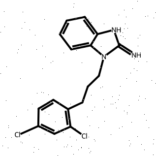 N=c1[nH]c2ccccc2n1CCCc1ccc(Cl)cc1Cl